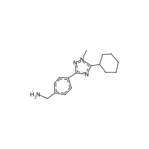 Cn1nc(-c2ccc(CN)cc2)nc1C1CCCCC1